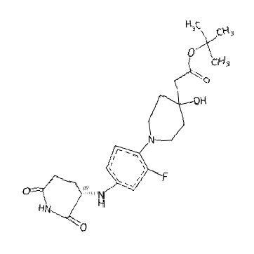 CC(C)(C)OC(=O)CC1(O)CCN(c2ccc(N[C@H]3CCC(=O)NC3=O)cc2F)CC1